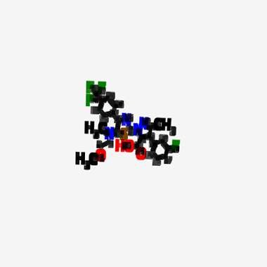 COCCN(C)c1sc(-n2nc(C)c(-c3cccc(F)c3)c2C(=O)O)nc1-c1ccc(C(F)(F)F)cc1